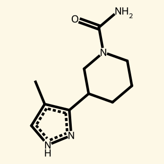 Cc1c[nH]nc1C1CCCN(C(N)=O)C1